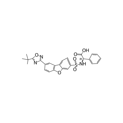 CC(C)(C)c1nc(-c2ccc3oc4cc(S(=O)(=O)N[C@@H](C(=O)O)c5ccccc5)ccc4c3c2)no1